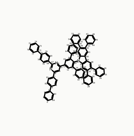 c1ccc(-c2ccc(-c3cc(-c4cc(-c5ccccc5)c(-n5c6cc(-c7ccccc7)c(-c7ccccc7)cc6c6cc(-c7ccccc7)c(-c7ccccc7)cc65)c(-c5ccccc5)c4)nc(-c4ccc(-c5ccccc5)cc4)n3)cc2)cc1